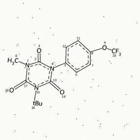 Cn1c(=O)n(-c2ccc(OC(F)(F)F)cc2)c(=O)n(C(C)(C)C)c1=O